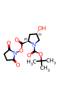 CC(C)(C)OC(=O)N1C[C@@H](O)C[C@@H]1C(=O)ON1C(=O)CCC1=O